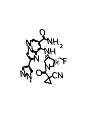 Cn1cc(-c2cn3ncc(C(N)=O)c(N[C@@H]4CN(C(=O)C5(C#N)CC5)C[C@H]4CF)c3n2)cn1